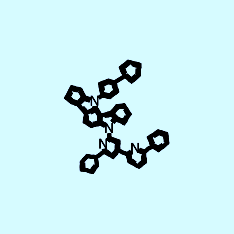 C1=CCC(c2cc(-c3cccc(-c4ccccc4)n3)cc(-n3c4ccccc4c4c3ccc3c5ccccc5n(-c5ccc(-c6ccccc6)cc5)c34)n2)C=C1